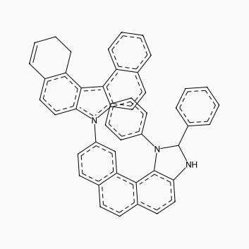 C1=Cc2ccc3c(c2CC1)c1c2ccccc2ccc1n3-c1ccc2ccc3ccc4c(c3c2c1)N(c1ccccc1)C(c1ccccc1)N4